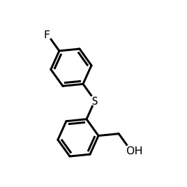 OCc1ccccc1Sc1ccc(F)cc1